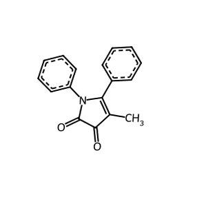 CC1=C(c2ccccc2)N(c2ccccc2)C(=O)C1=O